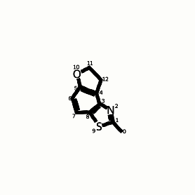 Cc1nc2c3c(ccc2s1)OCC3